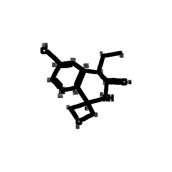 CCC1C(=O)NC2(COC2)c2ncc(Cl)cc21